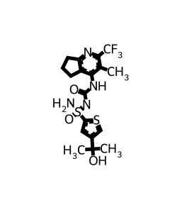 Cc1c(C(F)(F)F)nc2c(c1NC(=O)N=[S@](N)(=O)c1cc(C(C)(C)O)cs1)CCC2